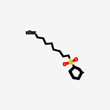 CCCCCCCCCCCCCCCCCCS(=O)(=O)c1c[c]ccc1